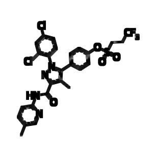 Cc1ccc(NC(=O)c2nn(-c3ccc(Cl)cc3Cl)c(-c3ccc(OS(=O)(=O)CCC(F)(F)F)cc3)c2C)nc1